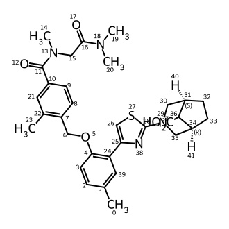 Cc1ccc(OCc2ccc(C(=O)N(C)CC(=O)N(C)C)cc2C)c(-c2csc(N3C[C@H]4CC[C@@H](C3)C4C(=O)O)n2)c1